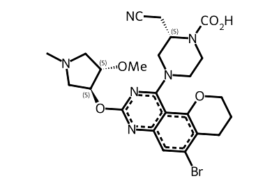 CO[C@H]1CN(C)C[C@@H]1Oc1nc(N2CCN(C(=O)O)[C@@H](CC#N)C2)c2c3c(c(Br)cc2n1)CCCO3